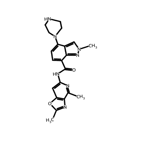 Cc1nc2c(C)nc(NC(=O)c3ccc(N4CCNCC4)c4cn(C)nc34)cc2o1